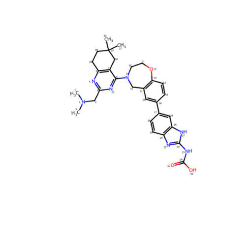 CN(C)Cc1nc2c(c(N3CCOc4ccc(-c5ccc6nc(NC(=O)O)[nH]c6c5)cc4C3)n1)CC(C)(C)CC2